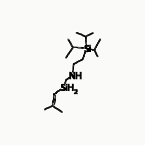 CC(C)=C[SiH2]CNCC[Si](C(C)C)(C(C)C)C(C)C